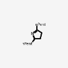 CCCCCC1=NC(CCCCC)CC1